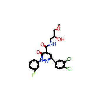 COCC(O)CNC(=O)c1cc(-c2ccc(Cl)c(Cl)c2)nn(-c2cccc(F)c2)c1=O